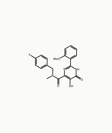 COc1ccccc1-c1nc(C(=O)N(C)Cc2ccc(F)cc2)c(O)c(=O)[nH]1